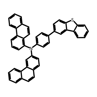 c1ccc2c(c1)ccc1ccc(N(c3ccc(-c4ccc5sc6ccccc6c5c4)cc3)c3cccc4c3ccc3ccccc34)cc12